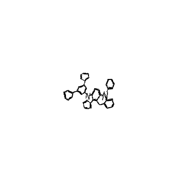 c1ccc(-c2cc(-c3ccccc3)cc(-n3c4ccccc4c4c5c(ccc43)N(c3ccccc3)c3ccccc3C5)c2)cc1